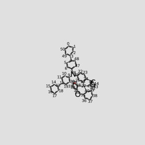 c1ccc(-c2ccc(N(c3ccc(-c4ccccc4)cc3)c3ccc4c(c3)C3(c5ccccc5Oc5ccccc53)c3ccccc3-4)cc2)cc1